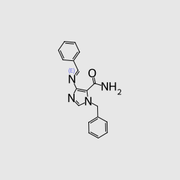 NC(=O)c1c(/N=C/c2ccccc2)ncn1Cc1ccccc1